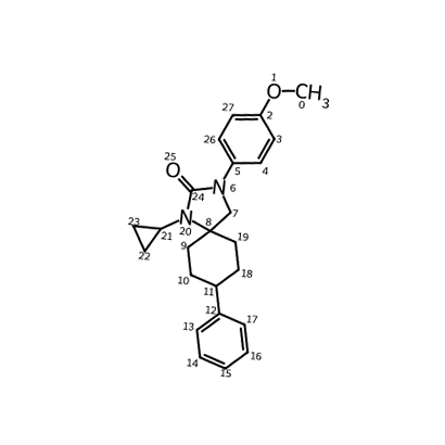 COc1ccc(N2CC3(CCC(c4ccccc4)CC3)N(C3CC3)C2=O)cc1